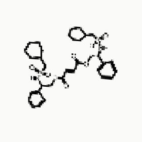 O=C(/C=C/C(=O)OC[C@H](NS(=O)(=O)CC1CCCCC1)c1ccccc1)OC[C@H](NS(=O)(=O)CC1CCCCC1)c1ccccc1